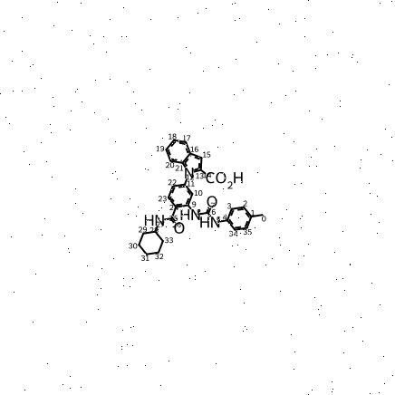 Cc1ccc(NC(=O)Nc2cc(-n3c(C(=O)O)cc4ccccc43)ccc2C(=O)NC2CCCCC2)cc1